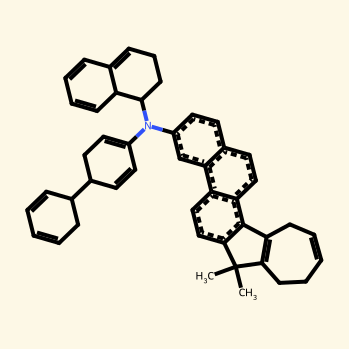 CC1(C)C2=C(CC=CCC2)c2c1ccc1c2ccc2ccc(N(C3=CCC(C4C=CC=CC4)C=C3)C3CCC=C4C=CC=CC43)cc21